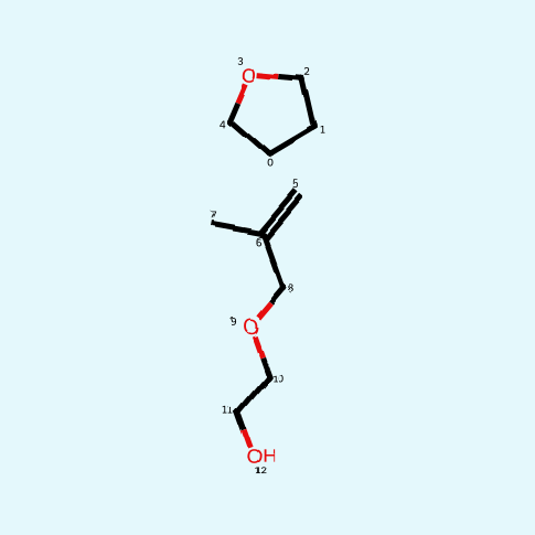 C1CCOC1.C=C(C)COCCO